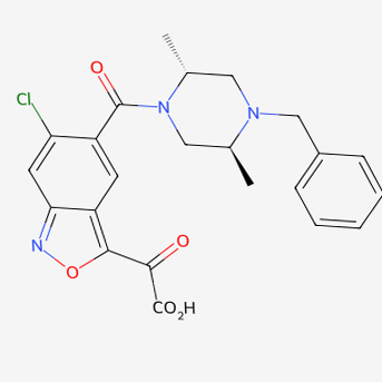 C[C@@H]1CN(Cc2ccccc2)[C@@H](C)CN1C(=O)c1cc2c(C(=O)C(=O)O)onc2cc1Cl